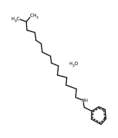 CC(C)CCCCCCCCCCCCCNCc1ccccc1.O